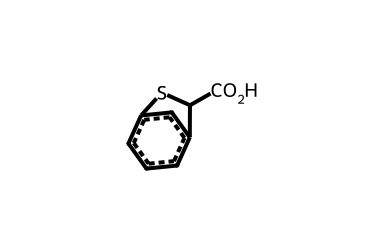 O=C(O)C1Sc2cccc1c2